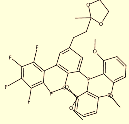 COCOc1c(-c2c(F)c(F)c(F)c(F)c2F)cc(CCC2(C)OCCO2)cc1P(c1c(OC)cccc1OC)c1c(OC)cccc1OC